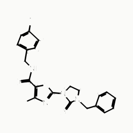 Cc1nc(N2CCN(Cc3ccccc3)C2=O)sc1C(=O)NCc1ccc(F)cc1